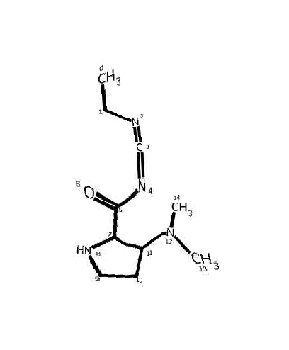 CCN=C=NC(=O)C1NCCC1N(C)C